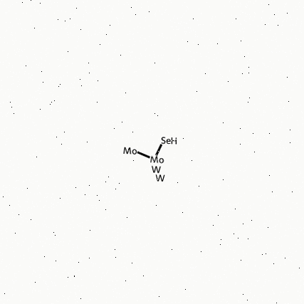 [SeH][Mo][Mo].[W].[W]